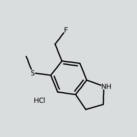 CSc1cc2c(cc1CF)NCC2.Cl